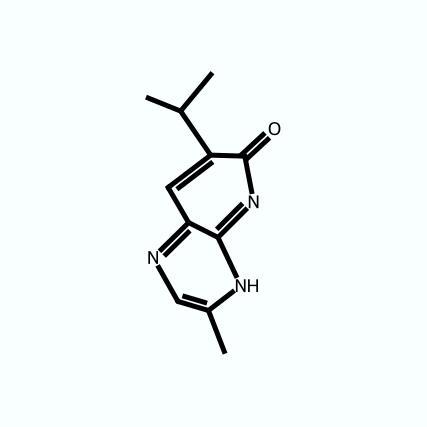 Cc1cnc2cc(C(C)C)c(=O)nc-2[nH]1